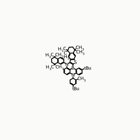 CC1=CC(C(C)(C)C)=CCC1N1c2ccc(C(C)(C)C)cc2B2c3sc4cc5c(cc4c3N(c3ccc4c(c3)C(C)(C)CCC4(C)C)c3cccc1c32)C(C)(C)CCC5(C)C